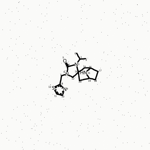 CC(C)N1C(=O)N(Cc2nccs2)CC12CC1CCC(C2)N1